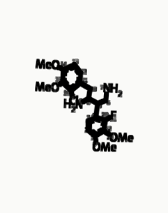 COc1ccc(C(CN)C(N)Cc2ccc(OC)c(OC)c2Cl)c(F)c1OC